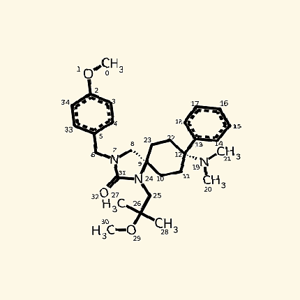 COc1ccc(CN2C[C@]3(CC[C@@](c4ccccc4)(N(C)C)CC3)N(CC(C)(C)OC)C2=O)cc1